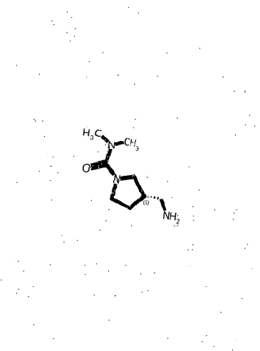 CN(C)C(=O)N1CC[C@@H](CN)C1